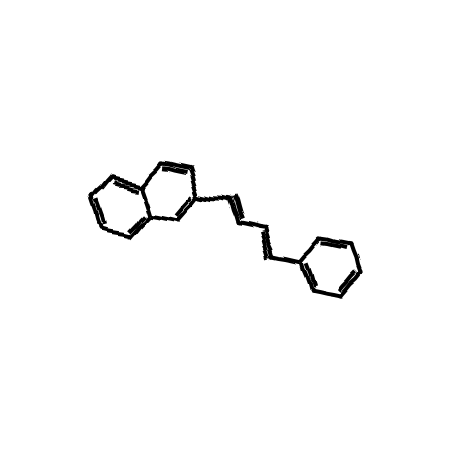 C(C=Cc1ccc2ccccc2c1)=Cc1ccccc1